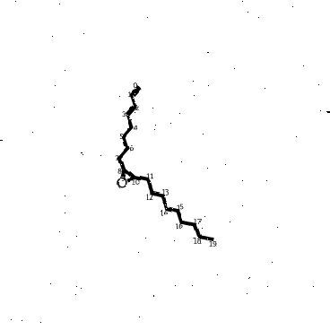 C=CC=CCCCCC1OC1CCCCCCCCC